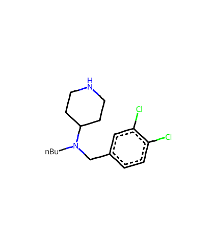 CCCCN(Cc1ccc(Cl)c(Cl)c1)C1CCNCC1